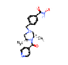 C[C@@H]1CN(Cc2ccc(C(=O)NO)cc2)C[C@H](C)N1C(=O)c1ccncc1